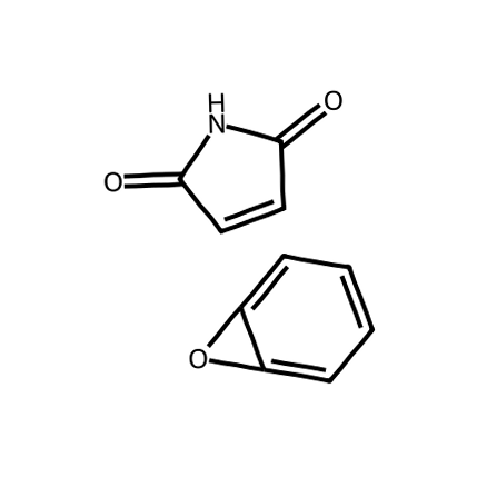 O=C1C=CC(=O)N1.c1ccc2c(c1)O2